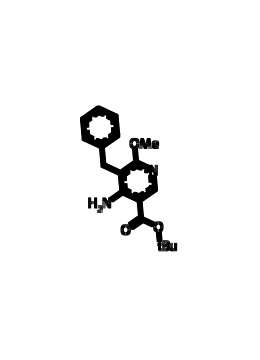 COc1ncc(C(=O)OC(C)(C)C)c(N)c1Cc1ccccc1